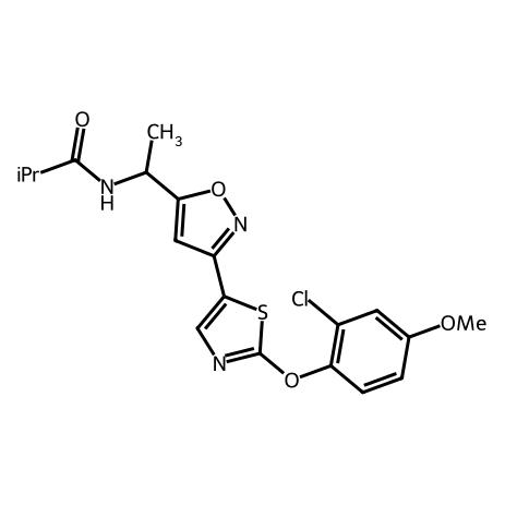 COc1ccc(Oc2ncc(-c3cc(C(C)NC(=O)C(C)C)on3)s2)c(Cl)c1